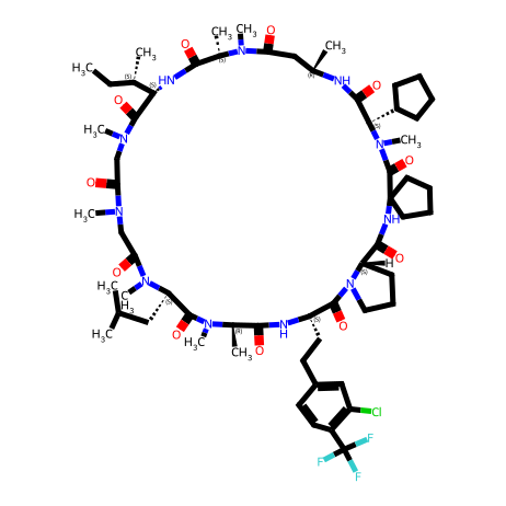 CC[C@H](C)[C@@H]1NC(=O)[C@H](C)N(C)C(=O)C[C@@H](C)NC(=O)[C@H](C2CCCC2)N(C)C(=O)C2(CCCC2)NC(=O)[C@@H]2CCCN2C(=O)[C@H](CCc2ccc(C(F)(F)F)c(Cl)c2)NC(=O)[C@@H](C)N(C)C(=O)[C@H](CC(C)C)N(C)C(=O)CN(C)C(=O)CN(C)C1=O